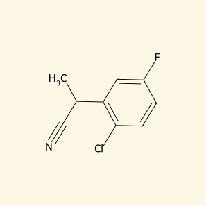 CC(C#N)c1cc(F)ccc1Cl